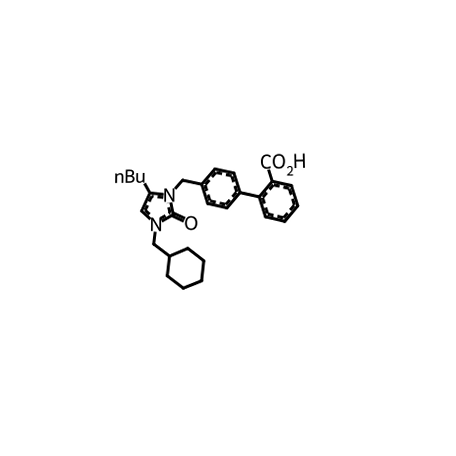 CCCCc1cn(CC2CCCCC2)c(=O)n1Cc1ccc(-c2ccccc2C(=O)O)cc1